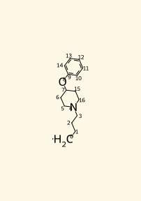 [CH2]CCCN1CCC(Oc2ccccc2)CC1